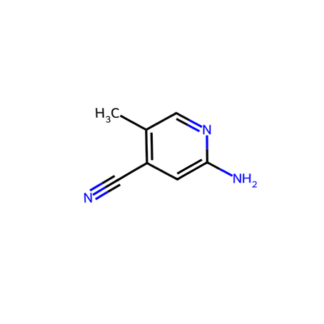 Cc1cnc(N)cc1C#N